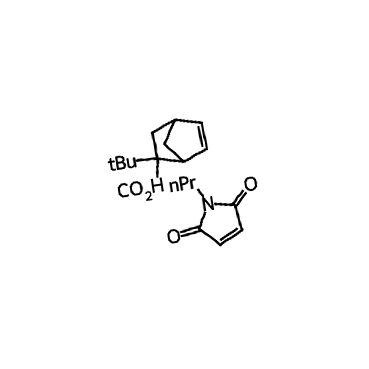 CC(C)(C)C1(C(=O)O)CC2C=CC1C2.CCCN1C(=O)C=CC1=O